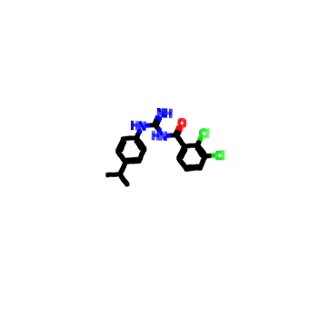 CC(C)c1ccc(NC(=N)NC(=O)c2cccc(Cl)c2Cl)cc1